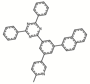 Cc1ccc(-c2cc(-c3ccc4ccccc4c3)cc(-c3nc(-c4ccccc4)nc(-c4ccccc4)n3)c2)cn1